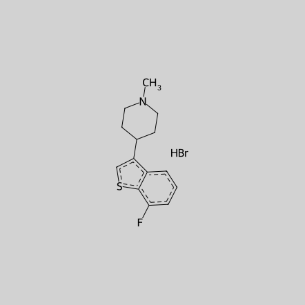 Br.CN1CCC(c2csc3c(F)cccc23)CC1